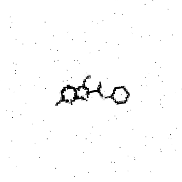 Cc1ccc2c(O)c(C(=O)OC3CCCCC3)sc2n1